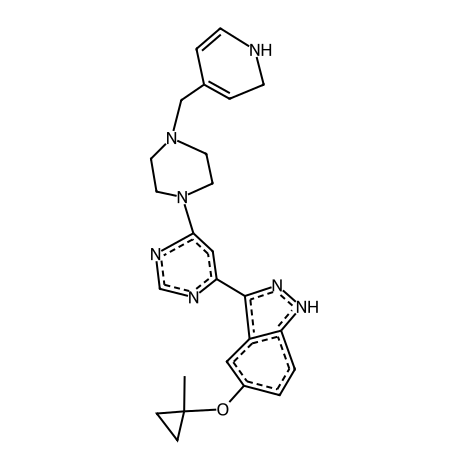 CC1(Oc2ccc3[nH]nc(-c4cc(N5CCN(CC6=CCNC=C6)CC5)ncn4)c3c2)CC1